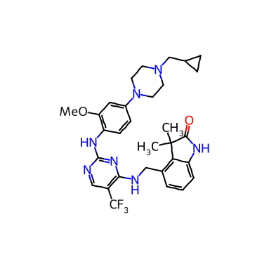 COc1cc(N2CCN(CC3CC3)CC2)ccc1Nc1ncc(C(F)(F)F)c(NCc2cccc3c2C(C)(C)C(=O)N3)n1